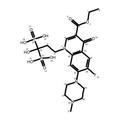 CCOC(=O)c1cn(CCC(O)(P(=O)(O)O)P(=O)(O)O)c2cc(N3CCN(C)CC3)c(F)cc2c1=O